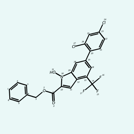 O=C(OCc1ccccc1)c1cc2c(C(F)(F)F)cc(-c3ccc(Cl)cc3Cl)cc2n1O